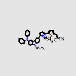 CCCCCCn1c2ccc(-c3ccc(-c4ccc(C=C(C#N)C(=O)O)s4)n3C)cc2c2cc(N(c3ccccc3)c3ccccc3)ccc21